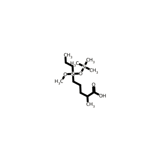 CCC[Si](CCCC(C)C(=O)O)(OC)O[Si](C)(C)C